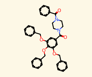 O=C(c1ccccc1)N1CCN(C(=O)c2cc(OCc3ccccc3)c(OCc3ccccc3)c(OCc3ccccc3)c2)CC1